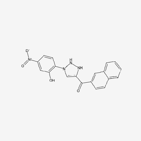 O=C(C1=CN(c2ccc([N+](=O)[O-])cc2O)NN1)c1ccc2ccccc2c1